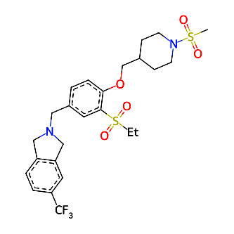 CCS(=O)(=O)c1cc(CN2Cc3ccc(C(F)(F)F)cc3C2)ccc1OCC1CCN(S(C)(=O)=O)CC1